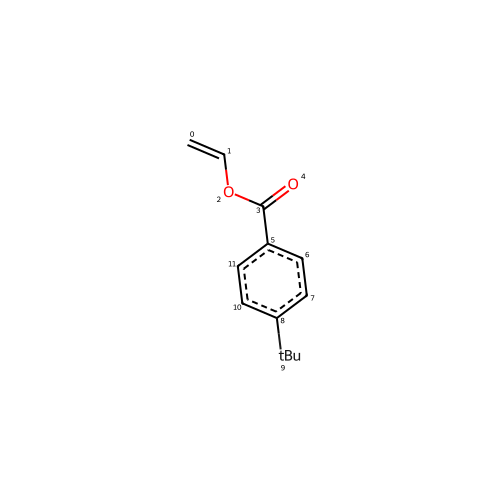 C=COC(=O)c1ccc(C(C)(C)C)cc1